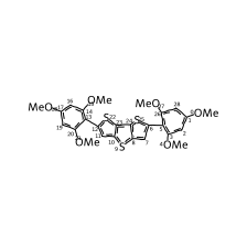 COc1cc(OC)c(-c2cc3sc4cc(-c5c(OC)cc(OC)cc5OC)sc4c3s2)c(OC)c1